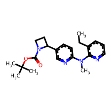 CCc1cccnc1N(C)c1ccc(C2CCN2C(=O)OC(C)(C)C)cn1